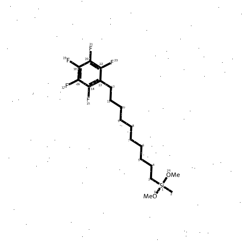 CO[Si](C)(CCCCCCCCCCc1c(F)c(F)c(F)c(F)c1F)OC